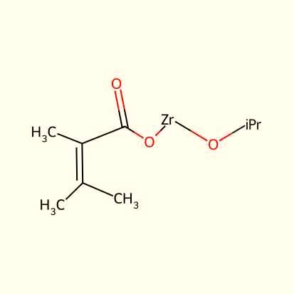 CC(C)=C(C)C(=O)[O][Zr][O]C(C)C